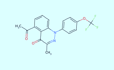 CC(=O)c1cccc2c1c(=O)c(C)nn2-c1ccc(OC(F)(F)F)cc1